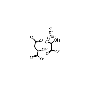 CC(O)C(=O)[O-].O=C([O-])CC(O)C(=O)[O-].[K+].[K+].[Na+]